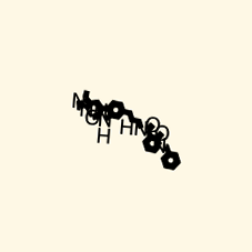 Cc1nc[nH]c1/C=C1\C(=O)Nc2cc(CCCNC(=O)c3cccn(Cc4ccccc4)c3=O)ccc21